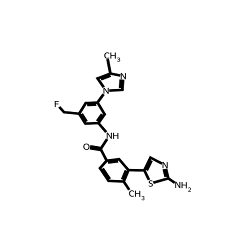 Cc1cn(-c2cc(CF)cc(NC(=O)c3ccc(C)c(-c4cnc(N)s4)c3)c2)cn1